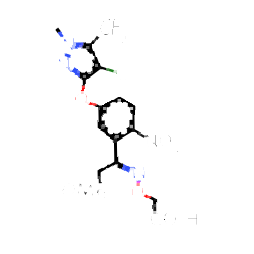 COCC(=NOCC(=O)O)c1cc(Oc2nn(C)c(C(F)(F)F)c2Cl)ccc1[N+](=O)[O-]